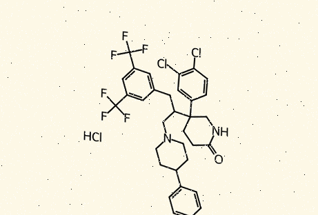 Cl.O=C1CCC(c2ccc(Cl)c(Cl)c2)(C(Cc2cc(C(F)(F)F)cc(C(F)(F)F)c2)CN2CCC(c3ccccc3)CC2)CN1